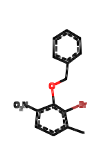 Cc1ccc([N+](=O)[O-])c(OCc2ccccc2)c1Br